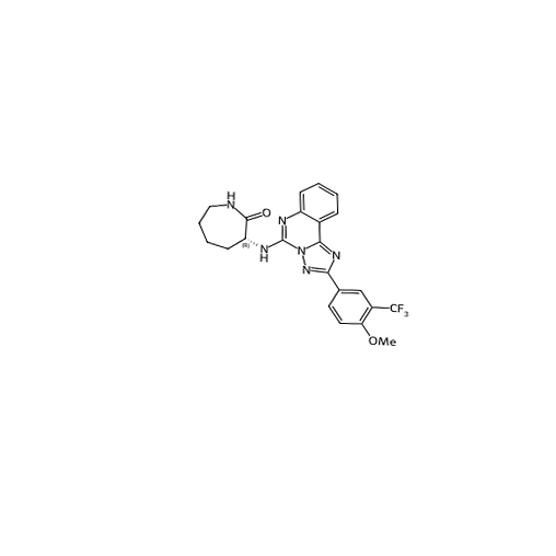 COc1ccc(-c2nc3c4ccccc4nc(N[C@@H]4CCCCNC4=O)n3n2)cc1C(F)(F)F